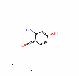 NC1C=C(O)C=CC1=C=O